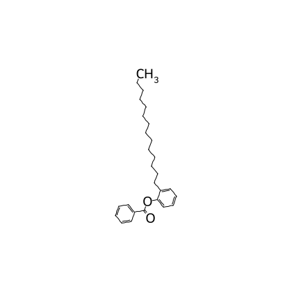 CCCCCCCCCCCCCCc1ccccc1OC(=O)c1ccccc1